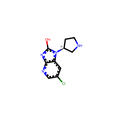 Oc1nc2ncc(Cl)cc2n1[C@H]1CCNC1